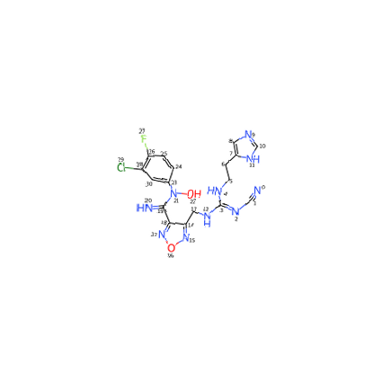 N#C/N=C(\NCCc1cnc[nH]1)NCc1nonc1C(=N)N(O)c1ccc(F)c(Cl)c1